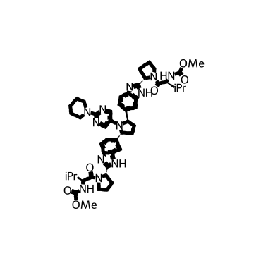 COC(=O)N[C@H](C(=O)N1CCC[C@H]1c1nc2ccc([C@H]3CC[C@H](c4ccc5nc([C@@H]6CCCN6C(=O)[C@@H](NC(=O)OC)C(C)C)[nH]c5c4)N3c3cnc(N4CCCCC4)nc3)cc2[nH]1)C(C)C